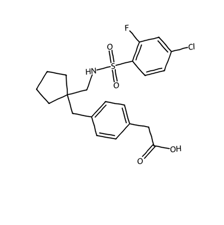 O=C(O)Cc1ccc(CC2(CNS(=O)(=O)c3ccc(Cl)cc3F)CCCC2)cc1